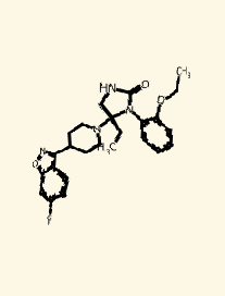 CCOc1ccccc1N1C(=O)NCC1(CC)N1CCC(c2noc3cc(F)ccc23)CC1